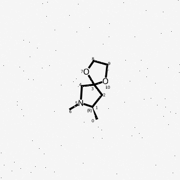 C[C@@H]1CC2(CN1C)OCCO2